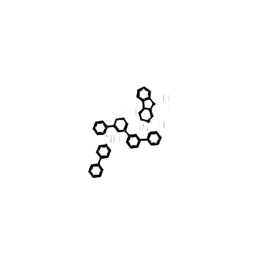 CC1C=C(c2cccc(-c3ccccc3NC3(C)C=C4C(=CC3)c3ccccc3C4(C)C)c2)C=C(c2ccccc2Nc2ccc(-c3ccccc3)cc2)C1